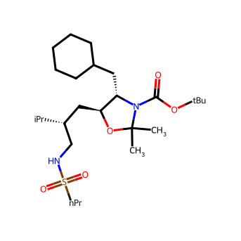 CCCS(=O)(=O)NC[C@@H](C[C@@H]1OC(C)(C)N(C(=O)OC(C)(C)C)[C@H]1CC1CCCCC1)C(C)C